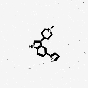 CN1CCC(c2c[nH]c3ccc(-c4cccs4)cc23)CC1